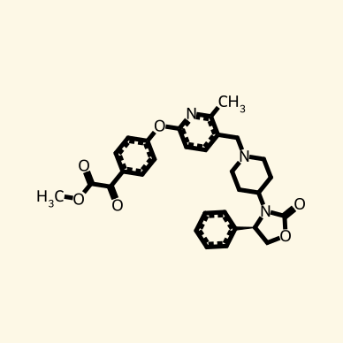 COC(=O)C(=O)c1ccc(Oc2ccc(CN3CCC(N4C(=O)OC[C@H]4c4ccccc4)CC3)c(C)n2)cc1